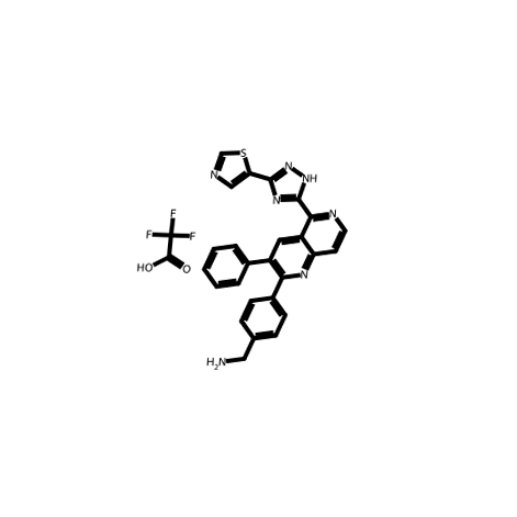 NCc1ccc(-c2nc3ccnc(-c4nc(-c5cncs5)n[nH]4)c3cc2-c2ccccc2)cc1.O=C(O)C(F)(F)F